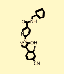 N#Cc1ccc(-c2cnn(-c3ccc(C(=O)NCc4ccccc4)cn3)c2O)c(F)c1